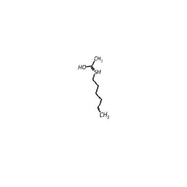 CCCCCC[SH]=C(C)O